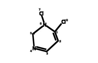 ClC1=CC=N[CH]N1Cl